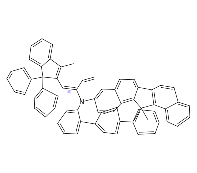 C=C/C(=C\C1=C(C)c2ccccc2C1(c1ccccc1)c1ccccc1)N(c1ccc2c3c(ccc2c1)-c1ccc2ccccc2c1C3(C)C)c1ccccc1-c1ccc(-c2ccccc2)cc1